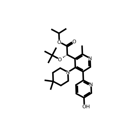 Cc1ncc(-c2ccc(O)cn2)c(N2CCC(C)(C)CC2)c1[C@H](OC(C)(C)C)C(=O)OC(C)C